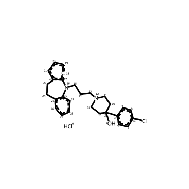 Cl.OC1(c2ccc(Cl)cc2)CCN(CCCN2c3ccccc3CCc3ccccc32)CC1